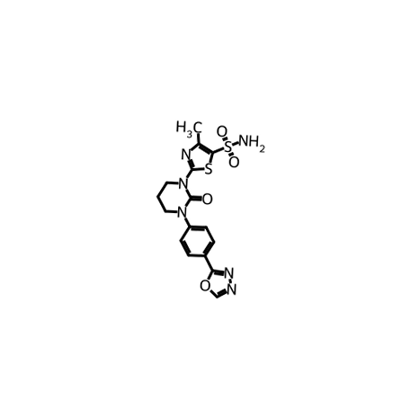 Cc1nc(N2CCCN(c3ccc(-c4nnco4)cc3)C2=O)sc1S(N)(=O)=O